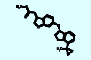 COC(=O)CC1COc2cc(O[C@@H]3CCc4c3cccc4C3(C)CC3)ccc21